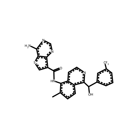 Cc1ccc2c(C(O)c3cccc(C(F)(F)F)c3)nccc2c1NC(=O)c1csc2c(N)ncnc12